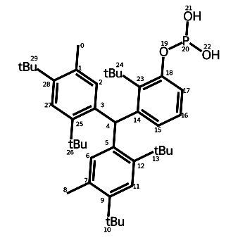 Cc1cc(C(c2cc(C)c(C(C)(C)C)cc2C(C)(C)C)c2cccc(OP(O)O)c2C(C)(C)C)c(C(C)(C)C)cc1C(C)(C)C